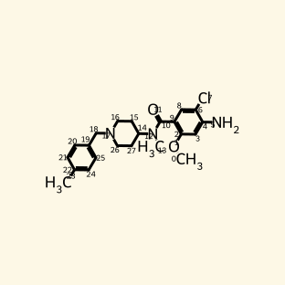 COc1cc(N)c(Cl)cc1C(=O)N(C)C1CCN(Cc2ccc(C)cc2)CC1